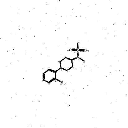 CN(C1CCN(c2ccccc2N)CC1)S(C)(=O)=O